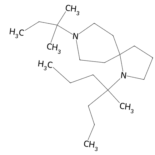 CCCC(C)(CCC)N1CCCC12CCN(C(C)(C)CC)CC2